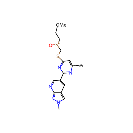 COCC[S+]([O-])CSc1cc(C(C)C)nc(-c2cnc3nn(C)cc3c2)n1